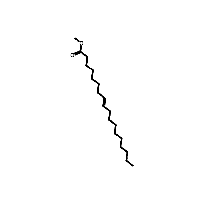 CCCCCCCCCC=CCCCCCCC(=O)OC